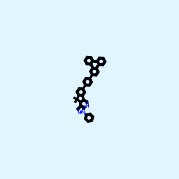 CC1(C)c2ccc(-c3ccc(-c4ccc5c6ccccc6c6ccccc6c5c4)cc3)cc2-c2cnc3c(cnn3-c3ccccc3)c21